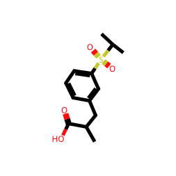 CC(Cc1cccc(S(=O)(=O)C(C)C)c1)C(=O)O